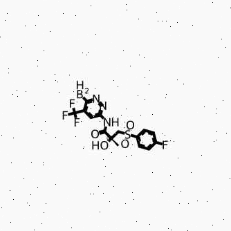 Bc1nnc(NC(=O)[C@@](C)(O)CS(=O)(=O)c2ccc(F)cc2)cc1C(F)(F)F